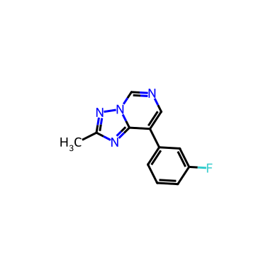 Cc1nc2c(-c3cccc(F)c3)cncn2n1